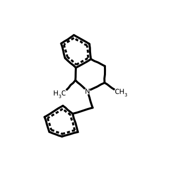 CC1Cc2ccccc2C(C)N1Cc1ccccc1